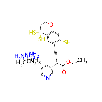 CCOC(=O)C(C#Cc1cc2c(cc1S)OCCC2(S)S)c1cccnc1.CN.CN.CN